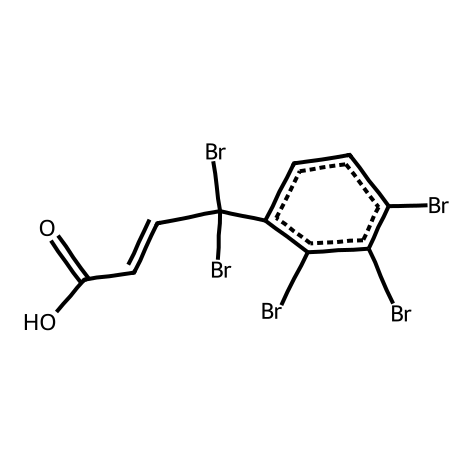 O=C(O)C=CC(Br)(Br)c1ccc(Br)c(Br)c1Br